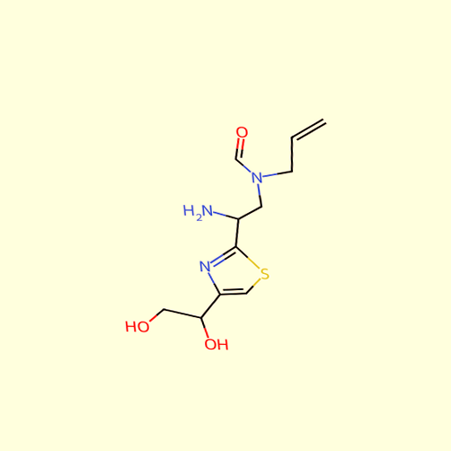 C=CCN(C=O)CC(N)c1nc(C(O)CO)cs1